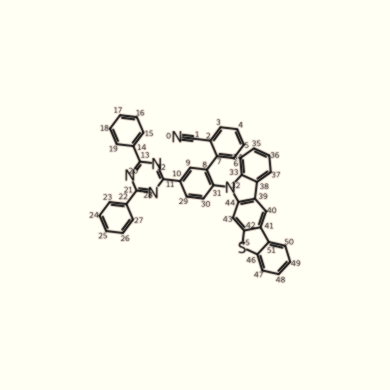 N#Cc1ccccc1-c1cc(-c2nc(-c3ccccc3)nc(-c3ccccc3)n2)ccc1-n1c2ccccc2c2cc3c(cc21)sc1ccccc13